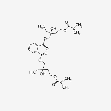 C=C(C)C(=O)OCCC(O)(CC)COC(=O)c1ccccc1C(=O)OCC(O)(CC)CCOC(=O)C(=C)C